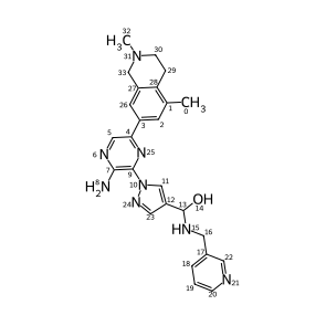 Cc1cc(-c2cnc(N)c(-n3cc(C(O)NCc4cccnc4)cn3)n2)cc2c1CCN(C)C2